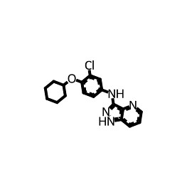 Clc1cc(Nc2n[nH]c3cccnc23)ccc1OC1CCCCC1